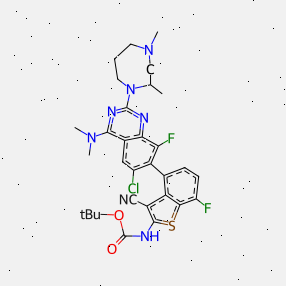 CC1CN(C)CCCN1c1nc(N(C)C)c2cc(Cl)c(-c3ccc(F)c4sc(NC(=O)OC(C)(C)C)c(C#N)c34)c(F)c2n1